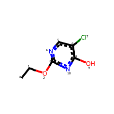 CCOc1ncc(Cl)c(O)n1